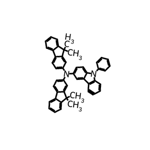 CC1(C)c2ccccc2-c2ccc(N(c3ccc4c(c3)C(C)(C)c3ccccc3-4)c3ccc4c(c3)c3c#cccc3n4-c3ccccc3)cc21